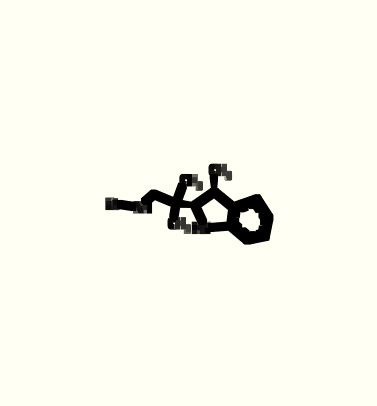 CCNCC(C)(C)[C@@H]1Nc2ccccc2[C@@H]1C